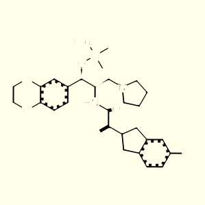 CC(C)(C)[Si](C)(C)O[C@H](c1ccc2c(c1)OCCO2)[C@@H](CN1CCCC1)NC(=O)C(=O)C1Cc2ccc(Cl)cc2C1